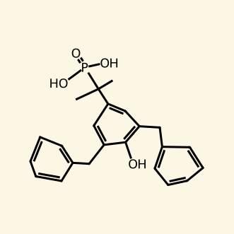 CC(C)(c1cc(Cc2ccccc2)c(O)c(Cc2ccccc2)c1)P(=O)(O)O